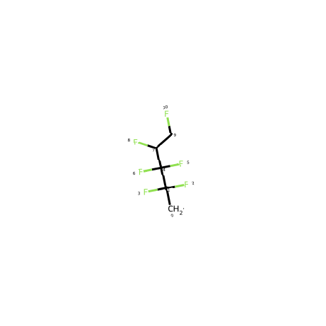 [CH2]C(F)(F)C(F)(F)C(F)CF